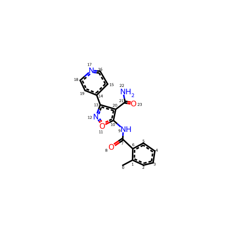 Cc1ccccc1C(=O)Nc1onc(-c2ccncc2)c1C(N)=O